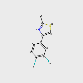 Cc1nc(-c2ccc(F)c(F)c2)cs1